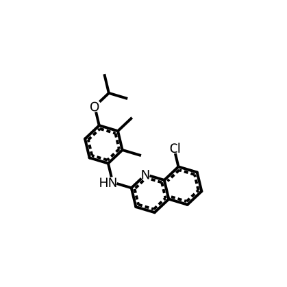 Cc1c(Nc2ccc3cccc(Cl)c3n2)ccc(OC(C)C)c1C